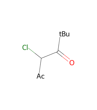 CC(=O)C(Cl)C(=O)C(C)(C)C